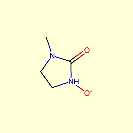 CN1CC[NH+]([O-])C1=O